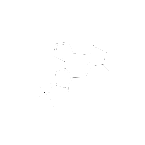 O=C1NN=C(c2ccco2)C1=Cc1ccc(C(F)(F)F)[nH]1